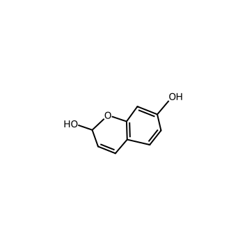 Oc1ccc2c(c1)OC(O)C=C2